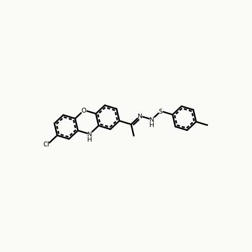 C/C(=N\NSc1ccc(C)cc1)c1ccc2c(c1)Nc1cc(Cl)ccc1O2